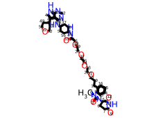 Cn1c(=O)n(C2CCC(=O)NC2=O)c2cccc(CCCOCCOCCOCCOCC(=O)N[C@H]3CC[C@H](Nc4ncnc5[nH]cc(C6CCOCC6)c45)CC3)c21